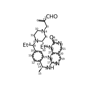 C=C(C=O)CN1CCN(C(CC)c2ccc([C@H](C)Nc3ncc4cnc(=O)n(CC)c4n3)cc2)CC1